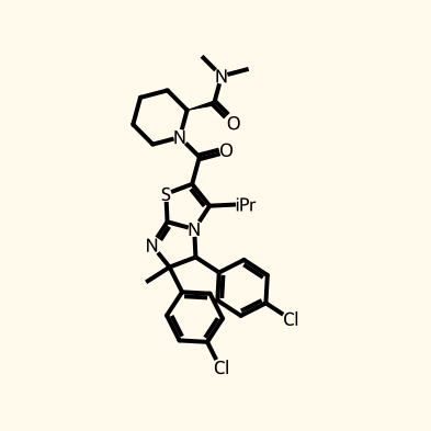 CC(C)C1=C(C(=O)N2CCCC[C@H]2C(=O)N(C)C)SC2=NC(C)(c3ccc(Cl)cc3)C(c3ccc(Cl)cc3)N21